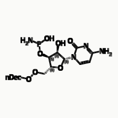 CCCCCCCCCCOOC[C@H]1O[C@@H](n2ccc(N)nc2=O)[C@H](O)[C@@H]1OP(N)O